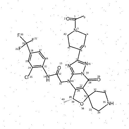 CC(=O)N1CC=C(c2nc3n(CC(=O)Nc4ccc(C(F)(F)F)cc4Cl)c4c(c(=O)n3n2)C2(CCNCC2)O[C@@H]4C)CC1